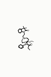 CCC(=O)N(c1ccccc1)C1(COC)CCN(CCN2C(=O)C(C)(C)c3ccccc32)CC1